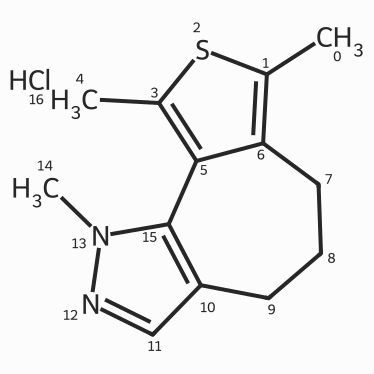 Cc1sc(C)c2c1CCCc1cnn(C)c1-2.Cl